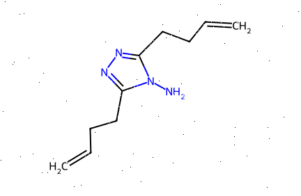 C=CCCc1nnc(CCC=C)n1N